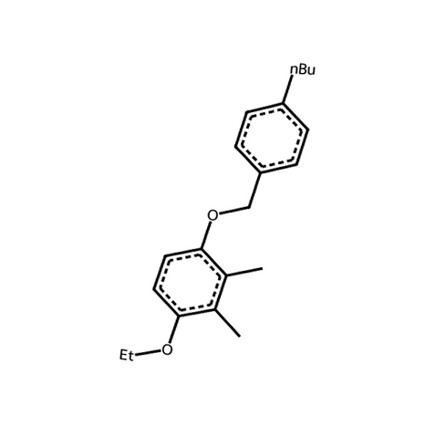 CCCCc1ccc(COc2ccc(OCC)c(C)c2C)cc1